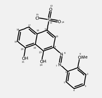 COc1ccccc1N=Nc1cc(S(=O)(=O)Cl)c2cccc(O)c2c1O